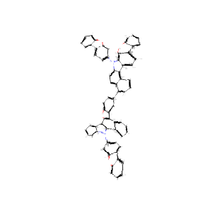 c1ccc2c(c1)oc1cc(-n3c4ccc5c(-c6ccc7oc8c(c7c6)c6ccccc6c6c8c7ccccc7n6-c6ccc7c(c6)oc6ccccc67)cccc5c4c4ccc5c6ccccc6oc5c43)ccc12